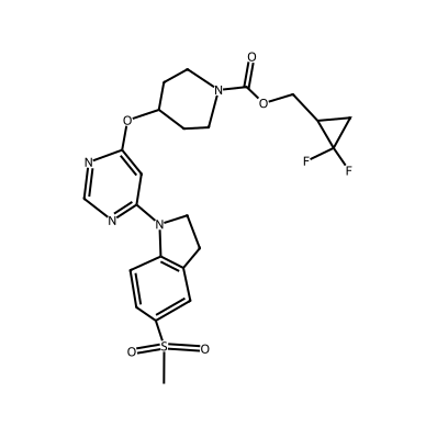 CS(=O)(=O)c1ccc2c(c1)CCN2c1cc(OC2CCN(C(=O)OCC3CC3(F)F)CC2)ncn1